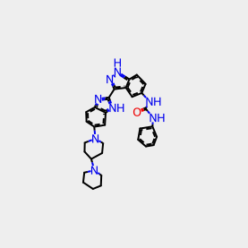 O=C(Nc1ccccc1)Nc1ccc2[nH]nc(-c3nc4ccc(N5CCC(N6CCCCC6)CC5)cc4[nH]3)c2c1